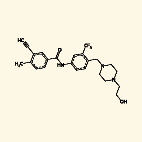 C#Cc1cc(C(=O)Nc2ccc(CN3CCN(CCO)CC3)c(C(F)(F)F)c2)ccc1C